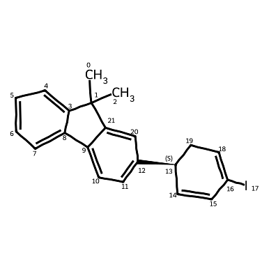 CC1(C)c2ccccc2-c2ccc([C@@H]3C=CC(I)=CC3)cc21